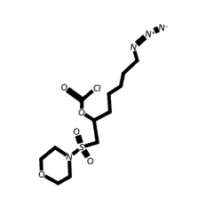 [N-]=[N+]=NCCCCCC(CS(=O)(=O)N1CCOCC1)OC(=O)Cl